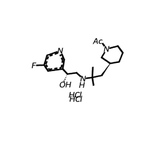 CC(=O)N1CCC[C@@H](CC(C)(C)NC[C@H](O)c2cncc(F)c2)C1.Cl.Cl